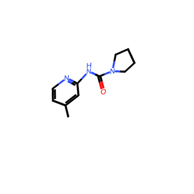 Cc1ccnc(NC(=O)N2CCCC2)c1